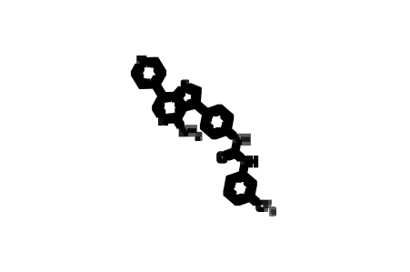 Nc1ncc(-c2ccncc2)c2scc(-c3ccc(NC(=O)Nc4cccc(C(F)(F)F)c4)cc3)c12